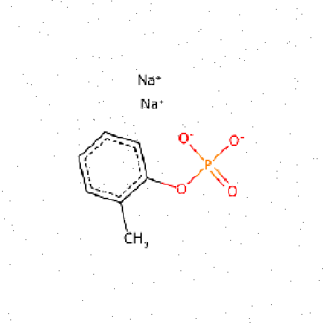 Cc1ccccc1OP(=O)([O-])[O-].[Na+].[Na+]